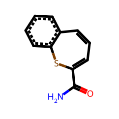 NC(=O)C1=CC=Cc2ccccc2S1